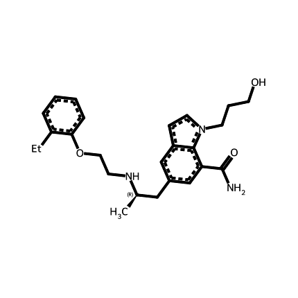 CCc1ccccc1OCCN[C@H](C)Cc1cc(C(N)=O)c2c(ccn2CCCO)c1